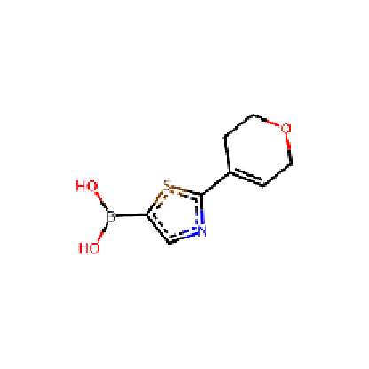 OB(O)c1cnc(C2=CCOCC2)s1